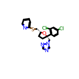 Clc1ccc([C@@]2(Cn3cncn3)CC[C@H](CSc3ccccn3)O2)c(Cl)c1